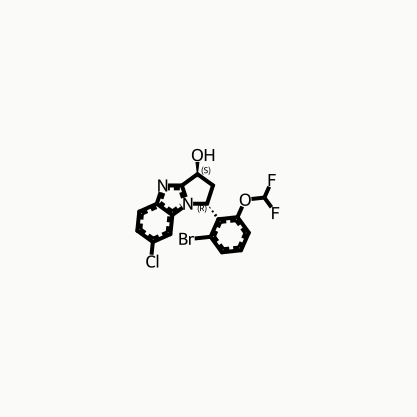 O[C@H]1C[C@H](c2c(Br)cccc2OC(F)F)n2c1nc1ccc(Cl)cc12